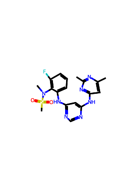 Cc1cc(Nc2cc(Nc3cccc(F)c3N(C)S(C)(=O)=O)ncn2)nc(C)n1